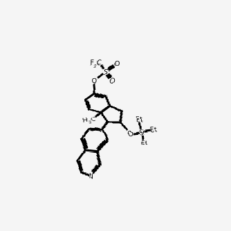 CC[Si](CC)(CC)OC1CC2C=C(OS(=O)(=O)C(F)(F)F)C=CC2(C)C1c1ccc2ccncc2c1